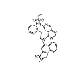 C=CS(=O)(=O)Nc1cc2c(N(CCc3ccccc3)c3cc4[nH]ncc4c4ccccc34)ncnc2cn1